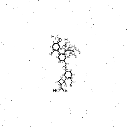 COc1ccc(F)c(-c2ccc(COc3ccc4c(c3)[C@@]3(CCC4)CC[C@H]3C(=O)O)cc2[C@H](OC)C(C)(C)C)c1